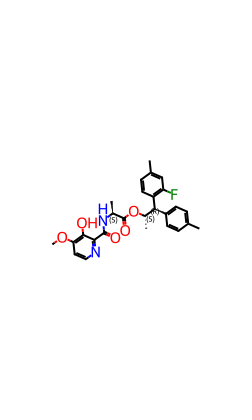 COc1ccnc(C(=O)N[C@@H](C)C(=O)O[C@@H](C)[C@H](c2ccc(C)cc2)c2ccc(C)cc2F)c1O